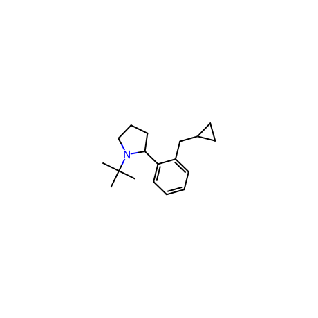 CC(C)(C)N1CCCC1c1ccccc1CC1CC1